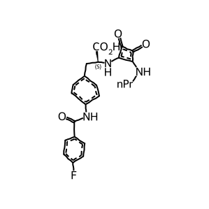 CCCNc1c(N[C@@H](Cc2ccc(NC(=O)c3ccc(F)cc3)cc2)C(=O)O)c(=O)c1=O